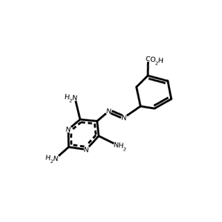 Nc1nc(N)c(N=NC2C=CC=C(C(=O)O)C2)c(N)n1